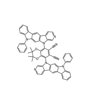 CC1(C)Oc2c(c(-n3c4cnccc4c4cc5c6ccccc6n(-c6ccccc6)c5cc43)c(C#N)c(C#N)c2-n2c3cnccc3c3cc4c5ccccc5n(-c5ccccc5)c4cc32)OC1(C)C